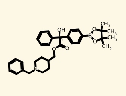 CC1(C)OB(c2ccc([C@](O)(C(=O)OCC3CCN(Cc4ccccc4)CC3)c3ccccc3)cc2)OC1(C)C